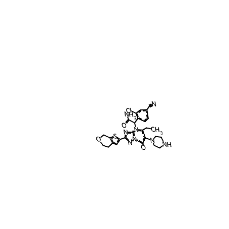 CCc1c(N2CCNCC2)c(=O)n2nc(-c3cc4c(s3)COCC4)nc2n1C(C(N)=O)c1ccc(C#N)cc1Cl